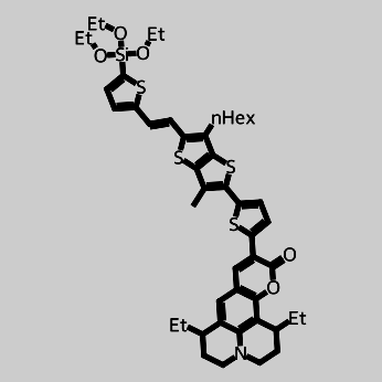 CCCCCCc1c(/C=C/c2ccc([Si](OCC)(OCC)OCC)s2)sc2c(C)c(-c3ccc(-c4cc5cc6c7c(c5oc4=O)C(CC)CCN7CCC6CC)s3)sc12